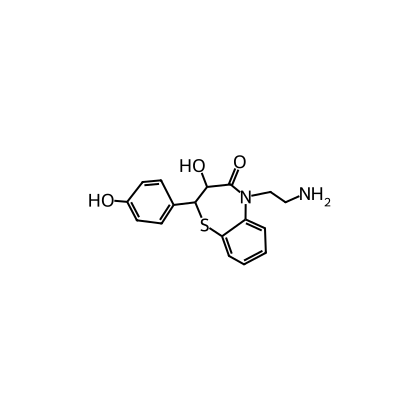 NCCN1C(=O)C(O)C(c2ccc(O)cc2)Sc2ccccc21